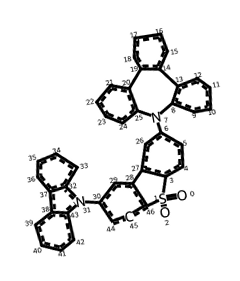 O=S1(=O)c2ccc(N3c4ccccc4-c4ccccc4-c4ccccc43)cc2-c2cc(-n3c4ccccc4c4ccccc43)ccc21